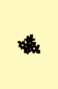 Cc1ccc(-n2nccn2)c(C(=O)N2CC[C@@H]3C[C@@]32c2nc3c(C)c(Cl)ccc3[nH]2)c1